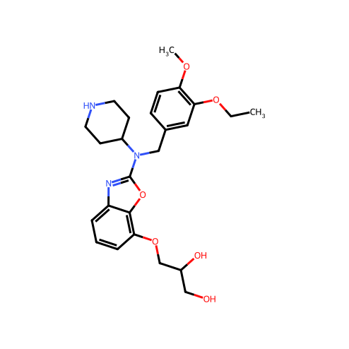 CCOc1cc(CN(c2nc3cccc(OCC(O)CO)c3o2)C2CCNCC2)ccc1OC